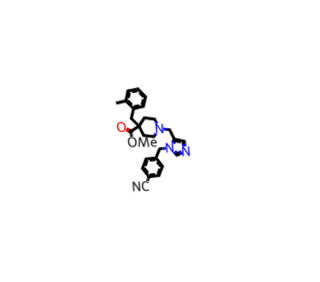 COC(=O)C1(Cc2ccccc2C)CCN(Cc2cncn2Cc2ccc(C#N)cc2)CC1